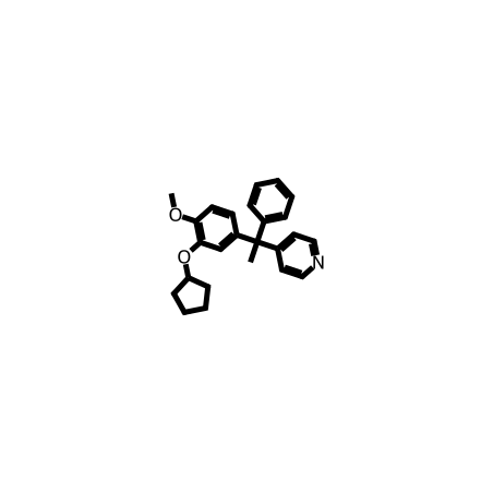 COc1ccc(C(C)(c2ccccc2)c2ccncc2)cc1OC1CCCC1